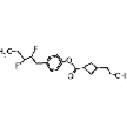 CCCC1CC(C(=O)Oc2ccc(CC(F)C(F)CC)cc2)C1